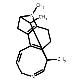 CC1C2CC3=C(CCC4=C3/C=C\C/N=C\C41C)N2C